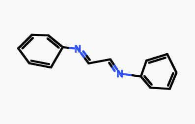 C(C=Nc1ccccc1)=Nc1ccccc1